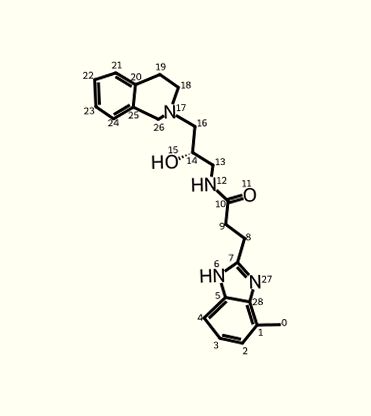 Cc1cccc2[nH]c(CCC(=O)NC[C@H](O)CN3CCc4ccccc4C3)nc12